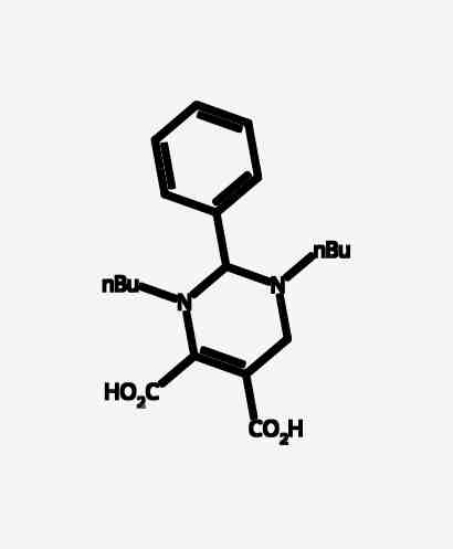 CCCCN1CC(C(=O)O)=C(C(=O)O)N(CCCC)C1c1ccccc1